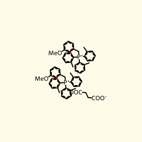 COc1cccc(C[P+](c2ccccc2C)(c2ccccc2C)c2ccccc2C)c1.COc1cccc(C[P+](c2ccccc2C)(c2ccccc2C)c2ccccc2C)c1.O=C([O-])CCC(=O)[O-]